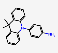 CC1(C)c2ccccc2N(c2ccc(N)cc2)c2ccccc21